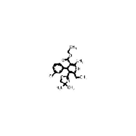 CCOC(=O)C1=C(C)NC(CC)=C(C2=NC(C)(C)CO2)C1c1cccc(Cl)c1